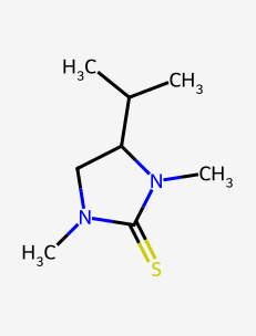 CC(C)C1CN(C)C(=S)N1C